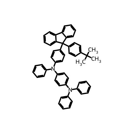 CC(C)(C)c1ccc(C2(c3ccc(N(c4ccccc4)c4ccc(N(c5ccccc5)c5ccccc5)cc4)cc3)c3ccccc3-c3ccccc32)cc1